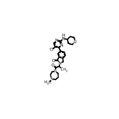 CC(C(=O)N1CCCN(C)CC1)N1Cc2ccc(-c3nc(NC4CCOCC4)ncc3Cl)cc2C1=O